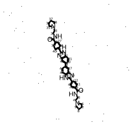 O=C(NCCN1CCCC1)c1ccc(-c2nc3cc(-c4ccc5[nH]c(-c6ccc(C(=O)NCCN7CCCC7)cc6)nc5c4)ccc3[nH]2)cc1